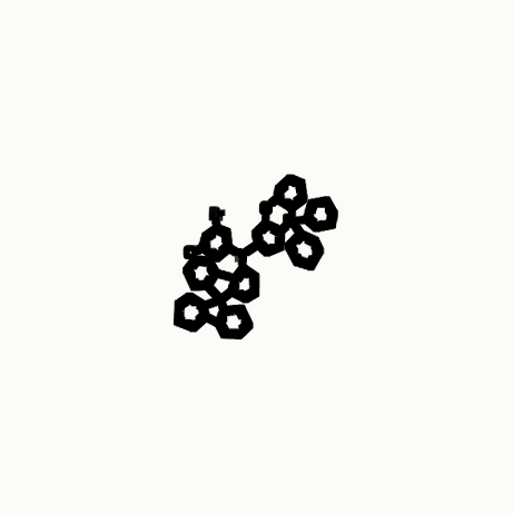 Clc1cc(Br)cc(N(c2ccc3c(c2)Oc2ccccc2[Si]3(c2ccccc2)c2ccccc2)c2cccc3c2-c2ccccc2C32c3ccccc3-c3ccccc32)c1